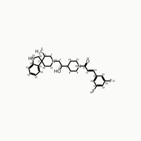 CC1CN(CC(O)C2CCN(C(=O)/C=C/c3cc(F)cc(F)c3)CC2)CCC12CNc1ccccc12